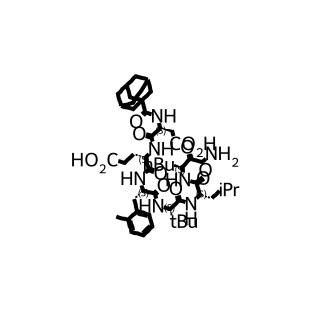 CCCC[C@H](NC(=O)[C@H](CC(C)C)NC(=O)[C@@H](NC(=O)[C@H](Cc1ccccc1C)NC(=O)[C@H](CCC(=O)O)NC(=O)[C@H](CC(=O)O)NC(=O)C12CC3CC(CC(C3)C1)C2)C(C)(C)C)C(=O)C(N)=O